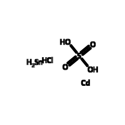 Cl.O=S(=O)(O)O.[Cd].[SnH2]